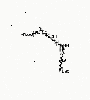 CCCCCCCCCCCCCCOC(=O)CCSCCCC(=N)NCCNCCNC(=N)CCCSCCC(=O)OCCCCCCCCCCCCCC